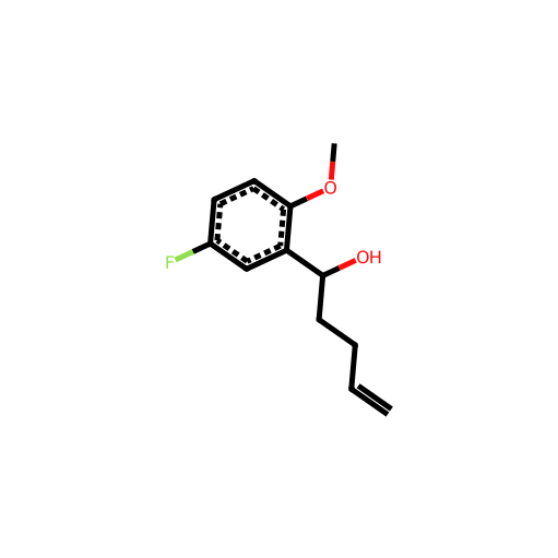 C=CCCC(O)c1cc(F)ccc1OC